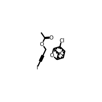 CC(=O)OCC#CI.Clc1ccc2c(Cl)c1O2